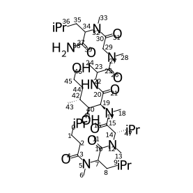 CC(C)CCC(=O)N(C)C(CC(C)C)C(=O)N(C)[C@H](C(=O)N(C)[C@H](C(=O)NC(C)C(=O)N(C)CC(=O)N(C)C(CC(C)C)C(N)=O)[C@@H](O)[C@H](C)CCO)C(C)C